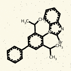 CC(C)c1cc(-c2ccccc2)cc(C(C)C)c1-n1c(Br)nc2ccccc21